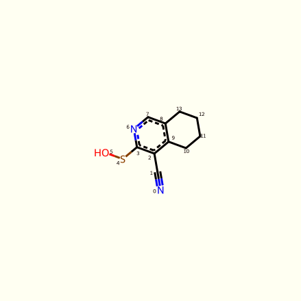 N#Cc1c(SO)ncc2c1CCCC2